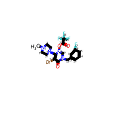 CN1CCN(C2=C(Br)C(=O)N(Cc3cccc(F)c3)CN2OC(=O)C(F)(F)F)CC1